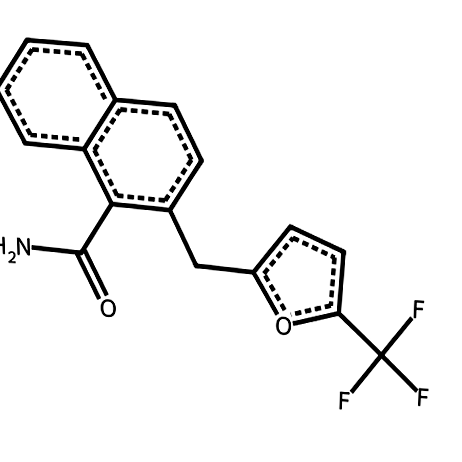 NC(=O)c1c(Cc2ccc(C(F)(F)F)o2)ccc2ccccc12